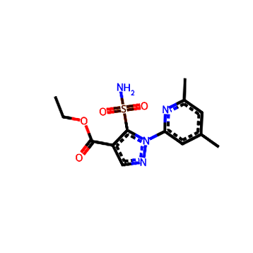 CCOC(=O)c1cnn(-c2cc(C)cc(C)n2)c1S(N)(=O)=O